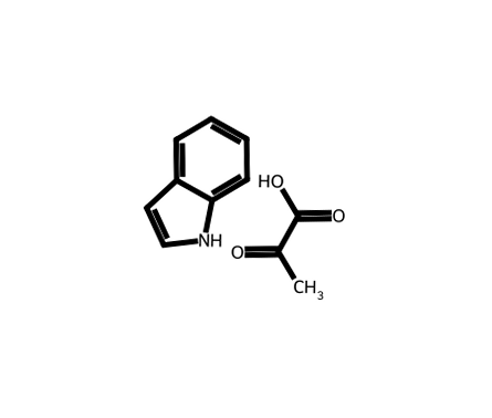 CC(=O)C(=O)O.c1ccc2[nH]ccc2c1